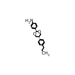 CCCc1ccc([C@H]2CO[C@H](c3ccc(N)cc3)OC2)cc1